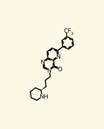 O=c1c2nc(-c3cccc(C(F)(F)F)c3)ccc2ncn1CCC[C@@H]1CCCCN1